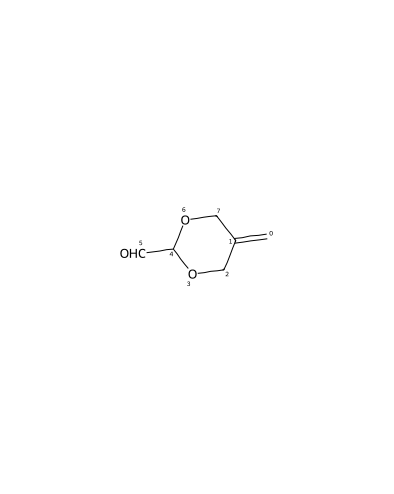 C=C1COC(C=O)OC1